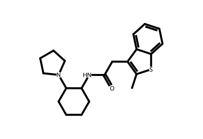 Cc1sc2ccccc2c1CC(=O)NC1CCCCC1N1CCCC1